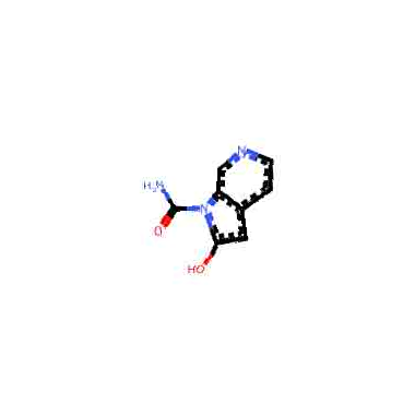 NC(=O)n1c(O)cc2ccncc21